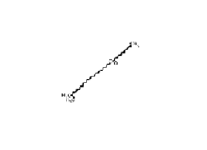 CCCCCCCCCCCC(=O)OCCCCCCCCCCCCCCCCCCCCC(C)CC